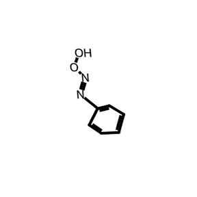 OON=Nc1ccccc1